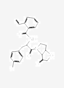 C=Cc1ccccc1C(=O)NC(Cc1ccc(F)cc1)C(=O)N1CCC2OCC(=O)C21